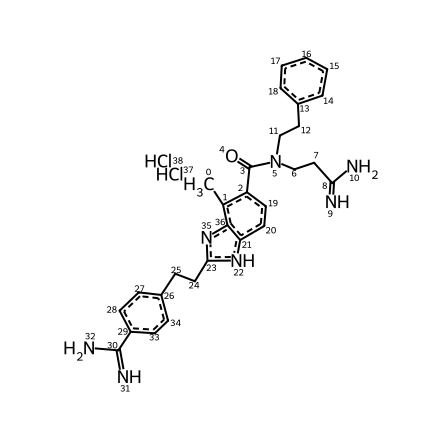 Cc1c(C(=O)N(CCC(=N)N)CCc2ccccc2)ccc2[nH]c(CCc3ccc(C(=N)N)cc3)nc12.Cl.Cl